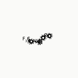 FC(F)(F)c1cc(NCc2cn(-c3ccc(Oc4ccccc4)cc3)nn2)ccn1